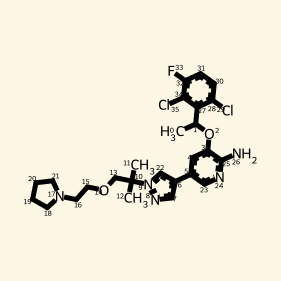 CC(Oc1cc(-c2cnn(C(C)(C)COCCN3CCCC3)c2)cnc1N)c1c(Cl)ccc(F)c1Cl